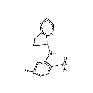 O=[N+]([O-])c1cc[n+]([O-])cc1NC1CCc2ccccc21